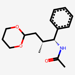 CC(=O)N[C@@H](c1ccccc1)[C@H](C)CC1OCCCO1